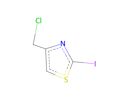 ClCc1csc(I)n1